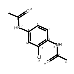 CC(=O)Nc1ccc(NC(C)=O)c(Cl)c1